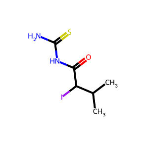 CC(C)C(I)C(=O)NC(N)=S